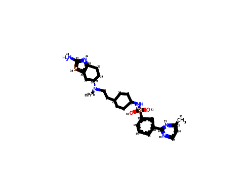 CCCN(CCC1CCC(NS(=O)(=O)c2cccc(-c3nccc(C)n3)c2)CC1)[C@H]1CCc2nc(N)sc2C1